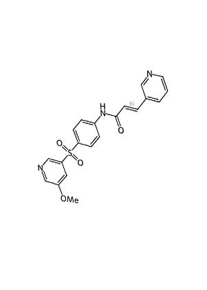 COc1cncc(S(=O)(=O)c2ccc(NC(=O)/C=C/c3cccnc3)cc2)c1